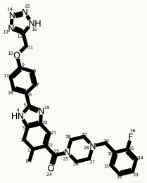 CC1Cc2[nH]c(-c3ccc(OCc4nnn[nH]4)cc3)nc2C=C1C(=O)N1CCN(Cc2ccccc2F)CC1